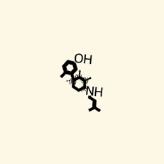 CC(C)=CCN[C@@H]1CC[C@@](C)(c2cc(O)ccc2C)[C@@H](C)[C@H]1C